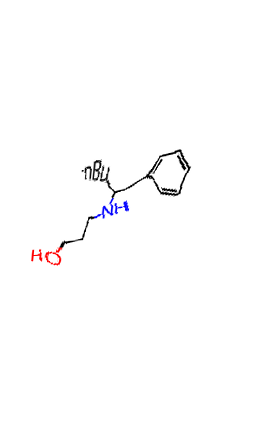 CCC[CH]C(NCCCO)c1ccccc1